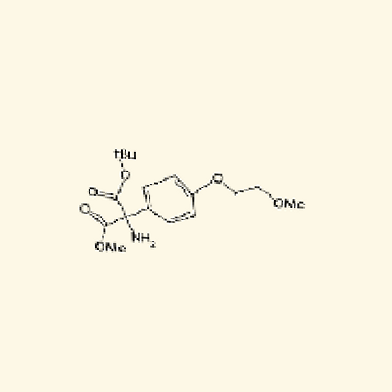 COCCOc1ccc(C(N)(C(=O)OC)C(=O)OC(C)(C)C)cc1